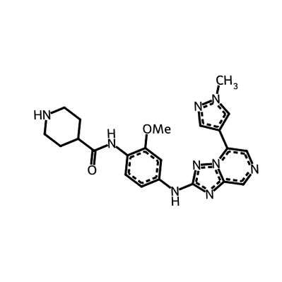 COc1cc(Nc2nc3cncc(-c4cnn(C)c4)n3n2)ccc1NC(=O)C1CCNCC1